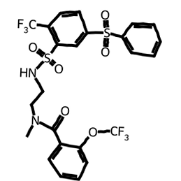 CN(CCNS(=O)(=O)c1cc(S(=O)(=O)c2ccccc2)ccc1C(F)(F)F)C(=O)c1ccccc1OC(F)(F)F